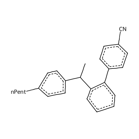 CCCCCc1ccc(C(C)c2ccccc2-c2ccc(C#N)cc2)cc1